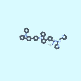 C=N/C(=N\C(=N/Cc1ccccn1)c1ccccn1)c1cccc(-c2cccc3c2c2ccccc2n3-c2ccc(-c3ccc4c5ccccc5n(-c5ccccc5)c4c3)cc2)c1